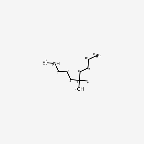 CCNCCCC(C)(O)CCCC(C)C